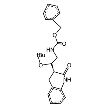 CC(C)(C)OC(CNC(=O)OCc1ccccc1)[C@@H]1Cc2ccccc2NC1=O